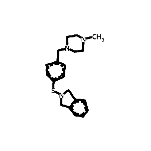 CN1CCN(Cc2ccc(SN3Cc4ccccc4C3)cc2)CC1